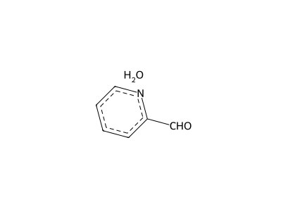 O.O=Cc1ccccn1